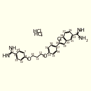 Cl.Cl.N=C(N)c1ccc(OCCCOc2ccc(-c3cc4cc(C(=N)N)ccc4o3)cc2)cc1